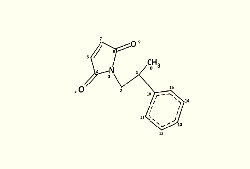 CC(CN1C(=O)C=CC1=O)c1ccccc1